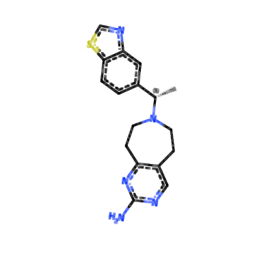 C[C@@H](c1ccc2scnc2c1)N1CCc2cnc(N)nc2CC1